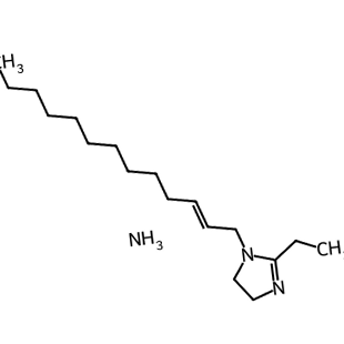 CCCCCCCCCCC=CCN1CCN=C1CC.N